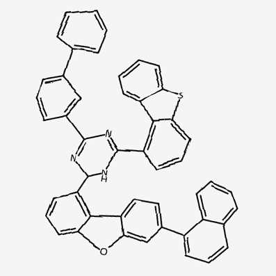 c1ccc(-c2cccc(C3=NC(c4cccc5oc6cc(-c7cccc8ccccc78)ccc6c45)NC(c4cccc5sc6ccccc6c45)=N3)c2)cc1